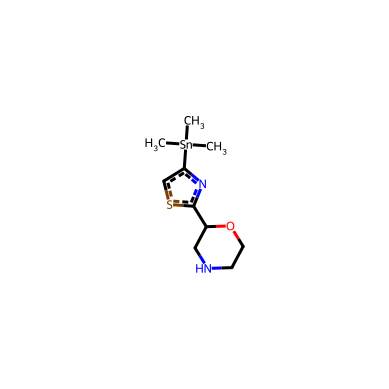 [CH3][Sn]([CH3])([CH3])[c]1csc(C2CNCCO2)n1